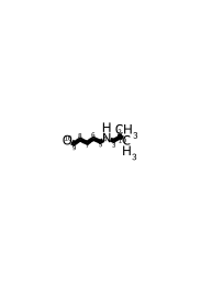 CC(C)CNCCCCC=O